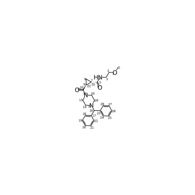 COCCNC(=O)[C@H]1C[C@@H]1C(=O)N1CCN(C(c2ccccc2)c2ccccc2)CC1